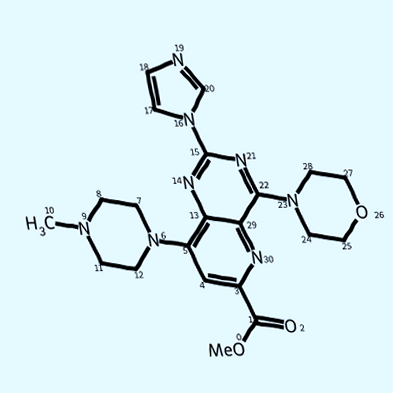 COC(=O)c1cc(N2CCN(C)CC2)c2nc(-n3ccnc3)nc(N3CCOCC3)c2n1